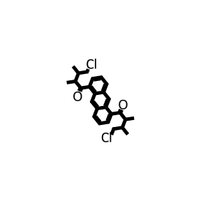 CC(CCl)C(C)C(=O)c1cccc2cc3c(C(=O)C(C)C(C)CCl)cccc3cc12